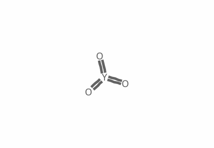 [O]=[Y](=[O])=[O]